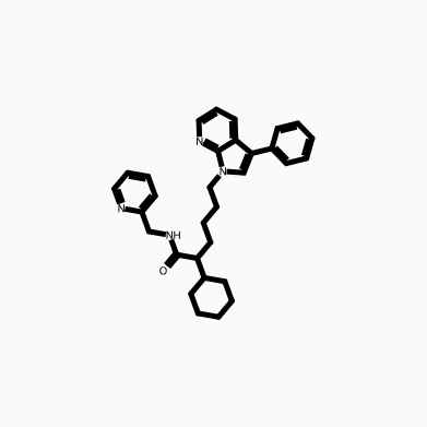 O=C(NCc1ccccn1)C(CCCCn1cc(-c2ccccc2)c2cccnc21)C1CCCCC1